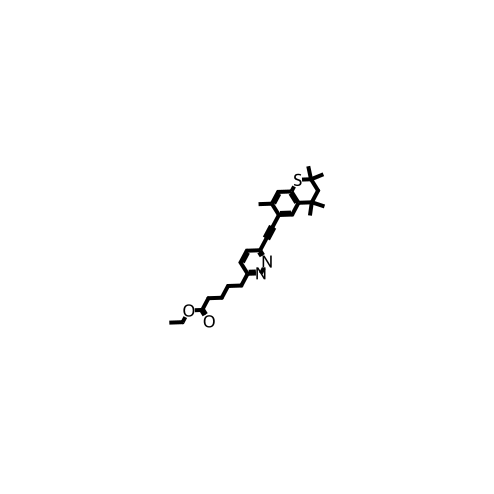 CCOC(=O)CCCCc1ccc(C#Cc2cc3c(cc2C)SC(C)(C)CC3(C)C)nn1